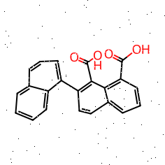 O=C(O)c1cccc2ccc(-c3cccc4ccccc34)c(C(=O)O)c12